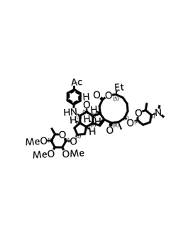 CC[C@H]1CCC[C@H](O[C@H]2CC[C@H](N(C)C)C(C)O2)[C@@H](C)C(=O)C2=C[C@H]3[C@@H]4C[C@H](O[C@@H]5OC(C)[C@H](OC)C(OC)C5OC)C[C@H]4[C@H](Nc4ccc(C(C)=O)cc4)[C@@H](O)[C@H]3[C@@H]2CC(=O)O1